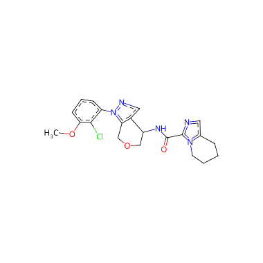 COc1cccc(-n2ncc3c2COCC3NC(=O)c2ncc3n2CCCC3)c1Cl